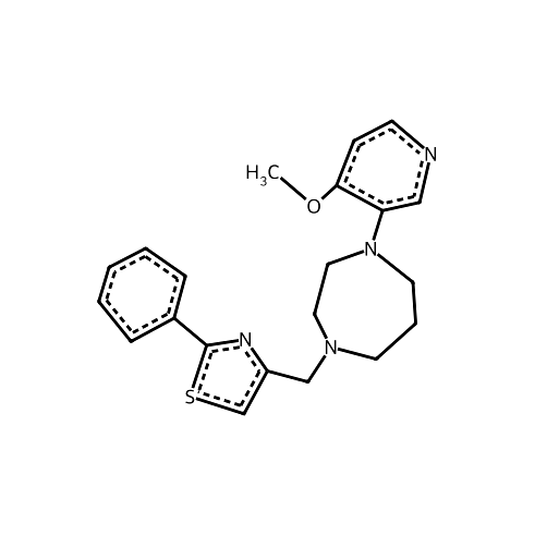 COc1ccncc1N1CCCN(Cc2csc(-c3ccccc3)n2)CC1